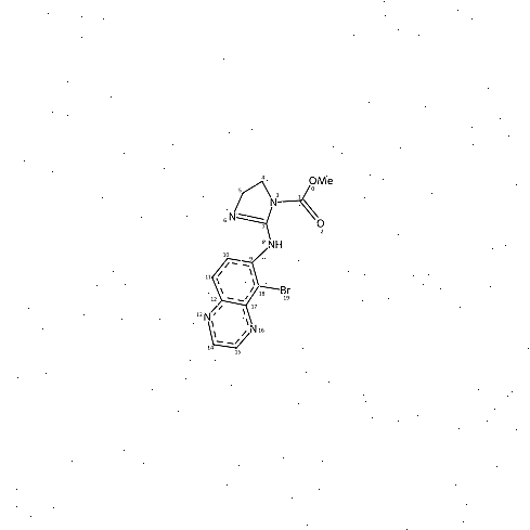 COC(=O)N1CCN=C1Nc1ccc2nccnc2c1Br